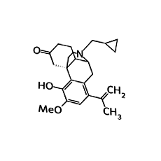 C=C(C)c1cc(OC)c(O)c2c1CC1C3CCC(=O)C[C@@]23CCN1CC1CC1